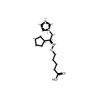 O=C(O)CCCCO/N=C(/Cn1ccnc1)C1CCCC1